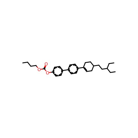 CCCCOC(=O)Oc1ccc(-c2ccc(C3=CCC(CCC(CC)CC)CC3)cc2)cc1